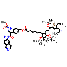 C=Cc1sc([C@@H](CC[C@H]2C(O[Si](C)(C)C(C)(C)C)CC(O[Si](C)(C)C(C)(C)C)C2CCCCCCC(=O)OCc2ccc(C(CNC(=O)OC(C)(C)C)C(=O)Nc3ccc4cnccc4c3)cc2)O[Si](C)(C)C(C)(C)C)cc1/C=C\C